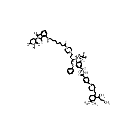 C=C(CCC)C1=C(CN2CCN(c3ccc(C(=O)NS(=O)(=O)c4ccc(N[C@H](CCN5CCN(C(=O)CCCCCCNc6cccc7c6C(=O)N(C6CCC(=O)NC6=O)C7=O)CC5)CSc5ccccc5)c(S(=O)(=O)C(F)(F)F)c4)cc3)CC2)CCC(C)(C)C1